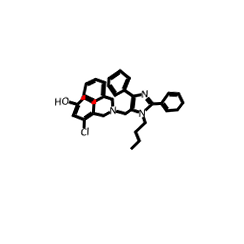 CCCCn1c(C2=CCCC=C2)nc(-c2ccccc2)c1CN(Cc1ccccc1)Cc1ccc(O)cc1Cl